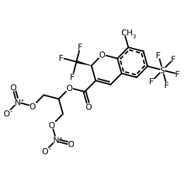 Cc1cc(S(F)(F)(F)(F)F)cc2c1O[C@H](C(F)(F)F)C(C(=O)OC(CO[N+](=O)[O-])CO[N+](=O)[O-])=C2